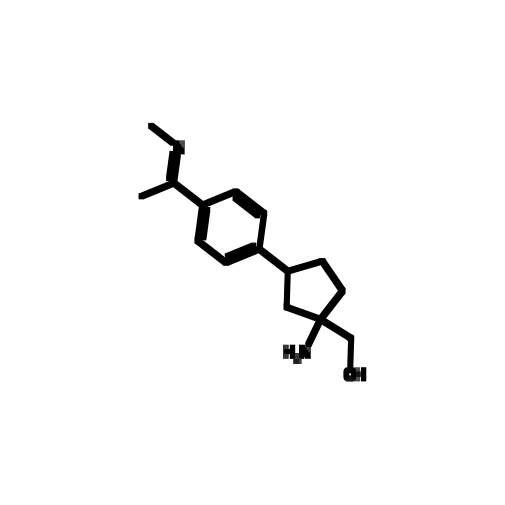 C/N=C(\C)c1ccc(C2CCC(N)(CO)C2)cc1